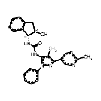 Cc1ncc(-c2nn(-c3ccccc3)c(NC(=O)N[C@@H]3c4ccccc4C[C@H]3O)c2C)cn1